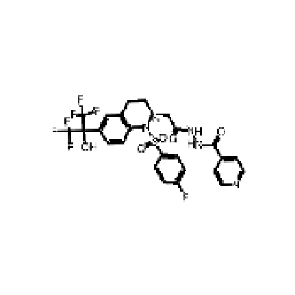 O=C(C[C@@H]1CCc2cc(C(O)(C(F)(F)F)C(F)(F)F)ccc2N1S(=O)(=O)c1ccc(F)cc1)NNC(=O)c1ccncc1